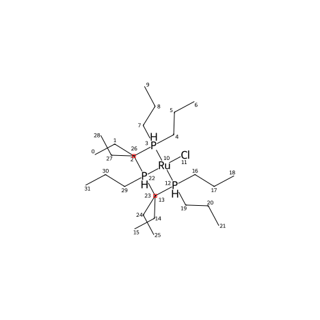 CCC[PH](CCC)(CCC)[Ru]([Cl])([PH](CCC)(CCC)CCC)[PH](CCC)(CCC)CCC